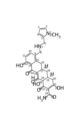 Cn1cccc1CNCc1ccc(O)c2c1C[C@H]1C[C@H]3CC(O)=C(C(N)=O)C(=O)[C@@]3(O)C(O)=C1C2=O